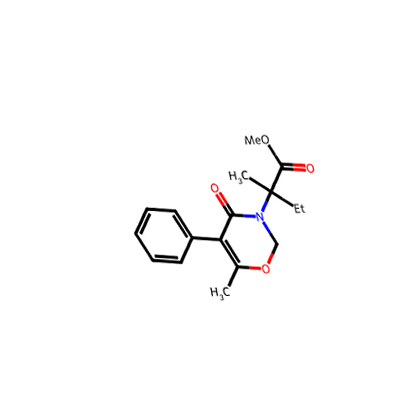 CCC(C)(C(=O)OC)N1COC(C)=C(c2ccccc2)C1=O